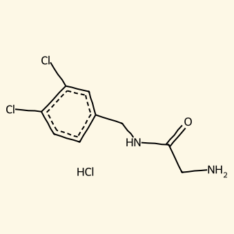 Cl.NCC(=O)NCc1ccc(Cl)c(Cl)c1